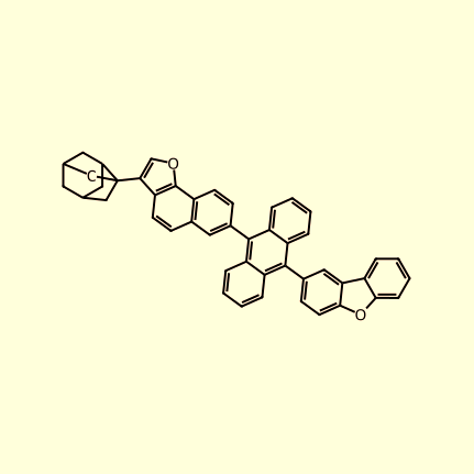 c1ccc2c(c1)oc1ccc(-c3c4ccccc4c(-c4ccc5c(ccc6c(C78CC9CC(CC7C9)C8)coc65)c4)c4ccccc34)cc12